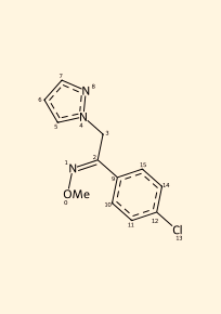 CO/N=C(/Cn1cccn1)c1ccc(Cl)cc1